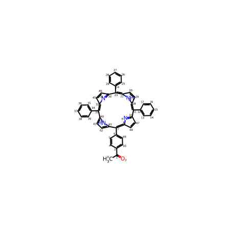 CC(=O)c1ccc(-c2c3nc(c(-c4ccccc4)c4ccc([nH]4)c(-c4ccccc4)c4nc(c(-c5ccccc5)c5ccc2[nH]5)C=C4)C=C3)cc1